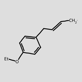 [CH2]C=CCc1ccc(OCC)cc1